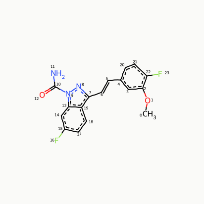 COc1cc(/C=C/c2nn(C(N)=O)c3cc(F)[c]cc23)ccc1F